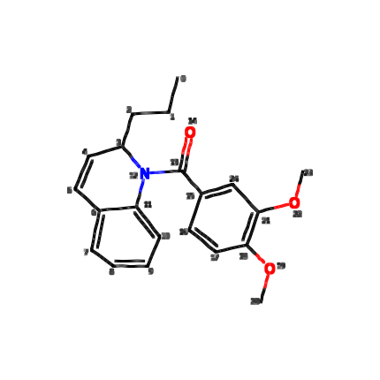 CCCC1C=Cc2ccccc2N1C(=O)c1ccc(OC)c(OC)c1